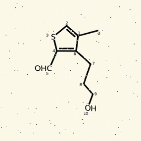 Cc1csc(C=O)c1CCCO